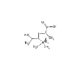 CC(=CC(C(C)O)[N+](C)(C)C)C(=O)[O-]